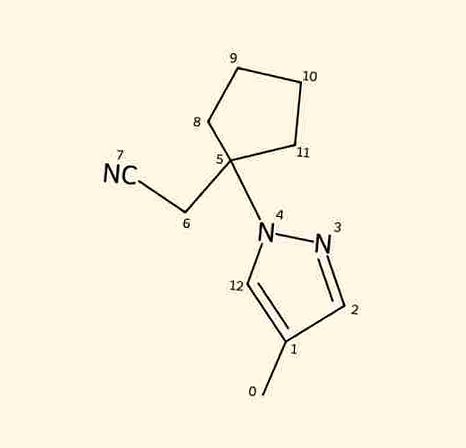 Cc1cnn(C2(CC#N)CCCC2)c1